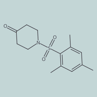 Cc1cc(C)c(S(=O)(=O)N2CCC(=O)CC2)c(C)c1